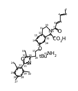 CC(C)(C)N.CC=CC=CC(=O)N1CCc2ccc(OCCc3nc(-c4c(C)cc(C)cc4C)oc3C)cc2C1C(=O)O